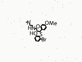 COc1ccc(C(Sc2ccccc2Br)C(O)C(=O)NCCN(C)C)cc1